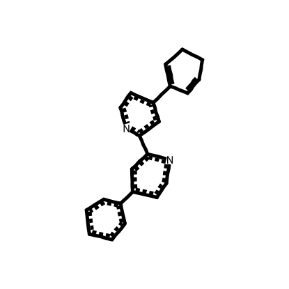 C1=CC(c2ccnc(-c3cc(-c4ccccc4)ccn3)c2)=CCC1